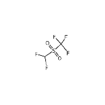 O=S(=O)(C(F)F)C(F)(F)F